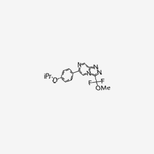 COC(F)(F)c1nnc2cnc(-c3ccc(OC(C)C)cc3)cn12